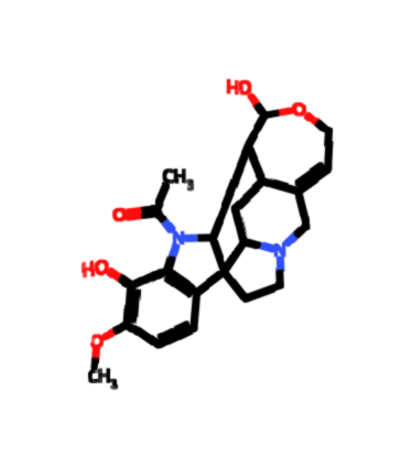 COc1ccc2c(c1O)N(C(C)=O)C1C3C(O)OCC=C4CN5CCC21C5CC43